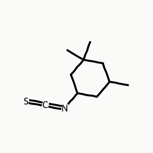 CC1CC(N=C=S)CC(C)(C)C1